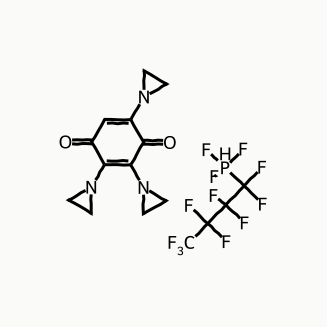 FC(F)(F)C(F)(F)C(F)(F)C(F)(F)[PH](F)(F)F.O=C1C=C(N2CC2)C(=O)C(N2CC2)=C1N1CC1